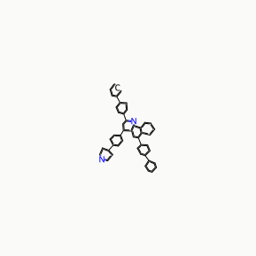 c1ccc(-c2ccc(-c3cc(-c4ccc(-c5ccncc5)cc4)c4cc(-c5ccc(-c6ccccc6)cc5)c5ccccc5c4n3)cc2)cc1